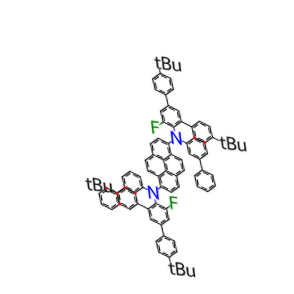 CC(C)(C)c1ccc(-c2cc(F)c(N(c3cccc(-c4ccccc4)c3)c3ccc4ccc5c(N(c6cccc(-c7ccccc7)c6)c6c(F)cc(-c7ccc(C(C)(C)C)cc7)cc6-c6ccc(C(C)(C)C)cc6)ccc6ccc3c4c65)c(-c3ccc(C(C)(C)C)cc3)c2)cc1